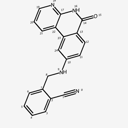 N#Cc1ccccc1CNc1ccc2c(=O)[nH]c3ncccc3c2c1